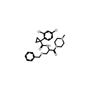 CN1CCN(C(=O)C(COCc2ccccc2)NC(=O)C2(c3ccc(Cl)cc3Cl)CC2)CC1